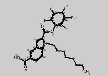 CCCCCCCCn1c(C(=O)Oc2c(F)c(F)c(F)c(F)c2F)cc2cc(C(=O)O)ccc21